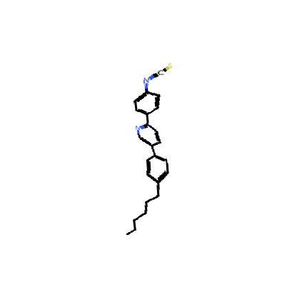 CCCCCCc1ccc(-c2ccc(-c3ccc(N=C=S)cc3)nc2)cc1